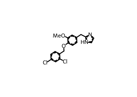 COc1cc(Cc2ncc[nH]2)ccc1OCc1ccc(Cl)cc1Cl